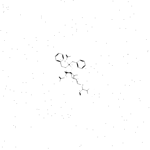 CC(C)C(C=O)NCCCCC[C@@H](Cc1ccccc1)C(Cc1ccccc1)(NC(=O)O)N[C@H](C(=O)NC(=O)O)C(C)C